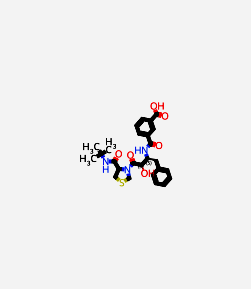 CC(C)(C)NC(=O)C1CSCN1C(=O)[C@@H](O)[C@H](Cc1ccccc1)NC(=O)c1cccc(C(=O)O)c1